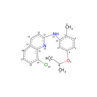 Cc1ccc(OC(C)C)cc1Nc1ccc2cccc(Cl)c2n1